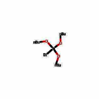 CCCCO[Si](CC)(OCCCC)OCCCC